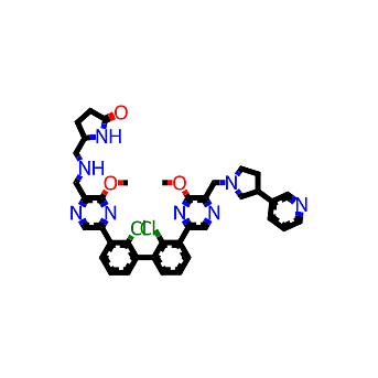 COc1nc(-c2cccc(-c3cccc(-c4cnc(CN5CCC(c6cccnc6)C5)c(OC)n4)c3Cl)c2Cl)cnc1CNCC1CCC(=O)N1